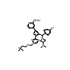 CC(=O)Nc1cc(-c2cc(C(c3ccc(Cl)cc3)N3CC(N(C)C)C3)c(-c3ncn(COCC[Si](C)(C)C)n3)s2)ccn1